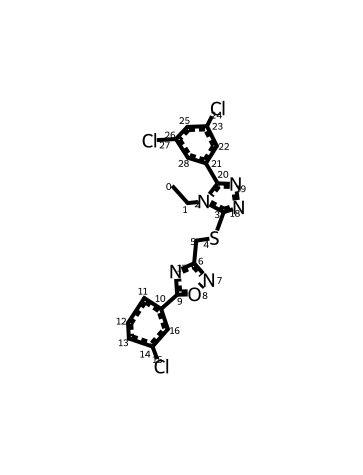 CCn1c(SCc2noc(-c3cccc(Cl)c3)n2)nnc1-c1cc(Cl)cc(Cl)c1